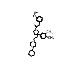 Cc1ccc(C2(CCN3CCN(C4CCCCC4)CC3)CCN(C(=O)Cc3cccc(OC(C)C)c3)C2)cc1C